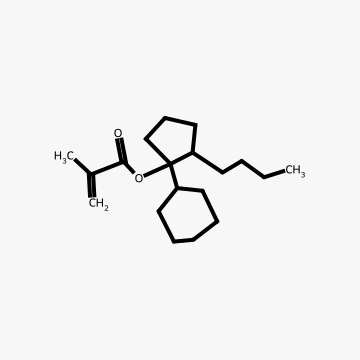 C=C(C)C(=O)OC1(C2CCCCC2)CCCC1CCCC